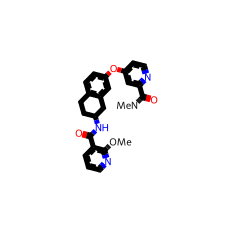 CNC(=O)c1cc(Oc2ccc3c(c2)CC(NC(=O)c2cccnc2OC)CC3)ccn1